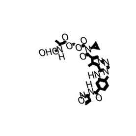 Cc1ccc(C(=O)Nc2ccon2)cc1Nc1ncnn2cc(C(=O)N(C(=O)OCOC(=O)C(C)NC=O)C3CC3)c(C)c12